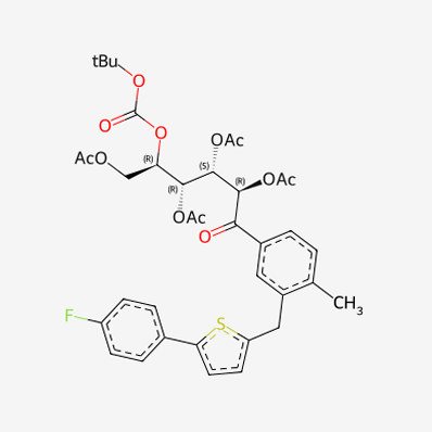 CC(=O)OC[C@@H](OC(=O)OC(C)(C)C)[C@@H](OC(C)=O)[C@H](OC(C)=O)[C@@H](OC(C)=O)C(=O)c1ccc(C)c(Cc2ccc(-c3ccc(F)cc3)s2)c1